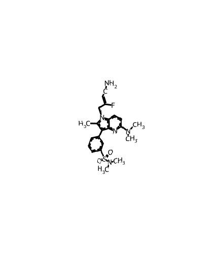 Cc1c(-c2cccc(S(=O)(=O)N(C)C)c2)c2nc(N(C)C)ccc2n1CC(F)=CCN